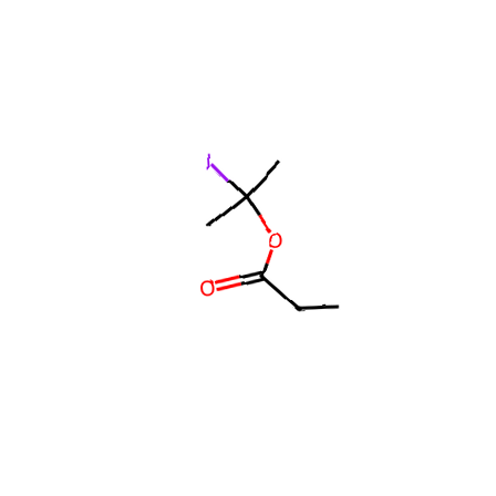 CCC(=O)OC(C)(C)I